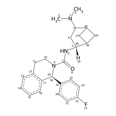 CN(C)C1C[C@@H](NC(=O)N2CCc3ccccc3[C@@H]2c2ccc(F)cc2)C2CC1C2